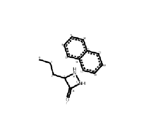 CCCC1NNC1=O.c1ccc2ccccc2c1